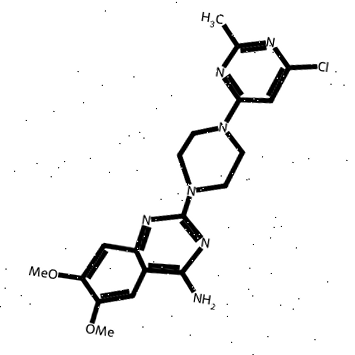 COc1cc2nc(N3CCN(c4cc(Cl)nc(C)n4)CC3)nc(N)c2cc1OC